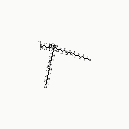 CCCCCCCCSCSCCCCCC1(CCCCCSCSCCCCCCCC)OCC(CCN(C)C)O1